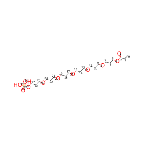 C=CC(=O)OCCCOCCCOCCCOCCCOCCCOCCCOP(=O)(O)O